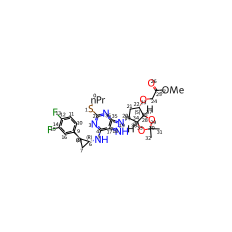 CCCSc1nc(N[C@@H]2C[C@H]2c2ccc(F)c(F)c2)c2[nH]n([C@@H]3C[C@H](OCC(=O)OC)[C@H]4OC(C)(C)O[C@H]43)c2n1